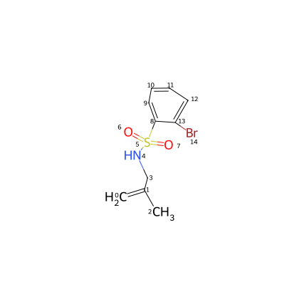 C=C(C)CNS(=O)(=O)c1ccccc1Br